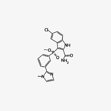 COP(=O)(c1cccc(-c2nccn2C)c1)c1c(C(N)=O)[nH]c2ccc(Cl)cc12